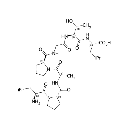 CC(C)C[C@H](NC(=O)[C@@H](NC(=O)CNC(=O)[C@@H]1CCCN1C(=O)[C@H](C)NC(=O)[C@@H]1CCCN1C(=O)[C@@H](N)CC(C)C)[C@@H](C)O)C(=O)O